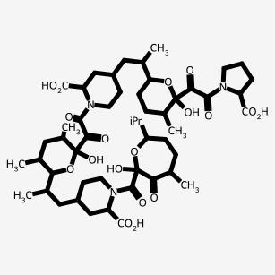 CC1CCC(C(C)C)OC(O)(C(=O)N2CCC(CC(C)C3OC(O)(C(=O)C(=O)N4CCC(CC(C)C5CCC(C)C(O)(C(=O)C(=O)N6CCCC6C(=O)O)O5)CC4C(=O)O)C(C)CC3C)CC2C(=O)O)C1=O